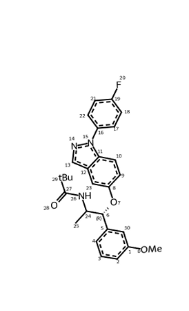 COc1cccc([C@@H](Oc2ccc3c(cnn3-c3ccc(F)cc3)c2)C(C)NC(=O)C(C)(C)C)c1